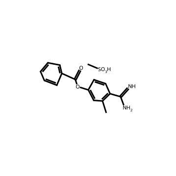 CS(=O)(=O)O.Cc1cc(OC(=O)c2ccccc2)ccc1C(=N)N